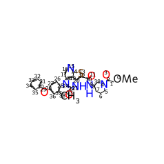 COCC(=O)N1CCCC(NC(=O)c2sc3nccc4c3c2NC(=O)N4c2ccc(Oc3ccccc3)cc2C)C1